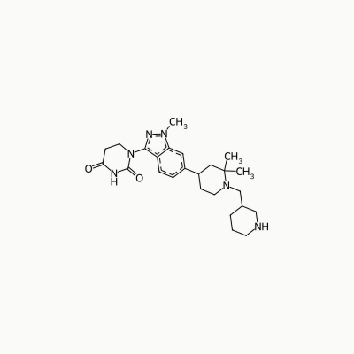 Cn1nc(N2CCC(=O)NC2=O)c2ccc(C3CCN(CC4CCCNC4)C(C)(C)C3)cc21